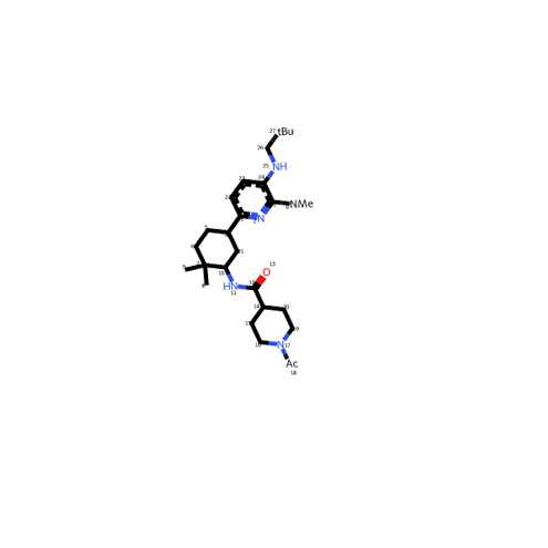 CNc1nc(C2CCC(C)(C)C(NC(=O)C3CCN(C(C)=O)CC3)C2)ccc1NCC(C)(C)C